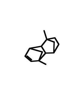 CC12C=CC(C1)C1C2C2CCC1(C)C2